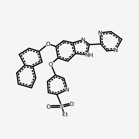 CCS(=O)(=O)c1ccc(Oc2cc3[nH]c(-c4cnccn4)nc3cc2Oc2ccc3ccccc3c2)cn1